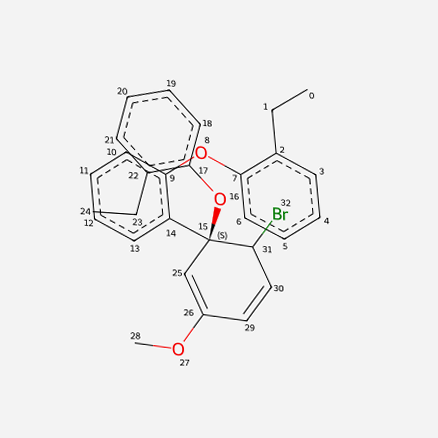 CCc1ccccc1Oc1ccccc1[C@@]1(Oc2ccccc2CC)C=C(OC)C=CC1Br